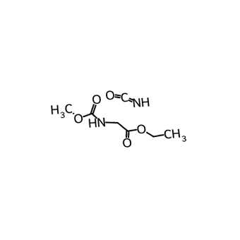 CCOC(=O)CNC(=O)OC.N=C=O